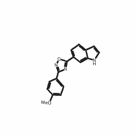 COc1ccc(-c2noc(-c3ccc4cc[nH]c4c3)n2)cc1